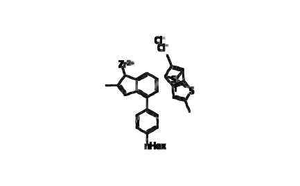 CC1=C2c3sc(C)cc3C1[Si]2(C)C.CCCCCCc1ccc(-c2cccc3c2C=C(C)[CH]3[Zr+2])cc1.[Cl-].[Cl-]